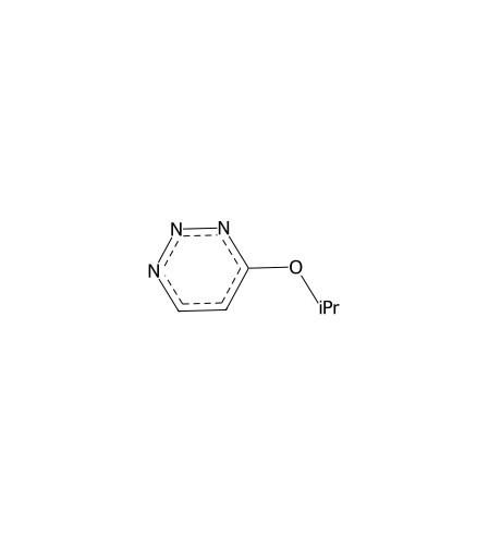 CC(C)Oc1ccnnn1